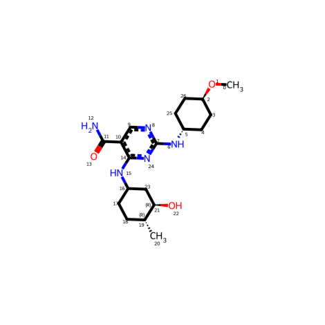 CO[C@H]1CC[C@H](Nc2ncc(C(N)=O)c(NC3CC[C@@H](C)[C@H](O)C3)n2)CC1